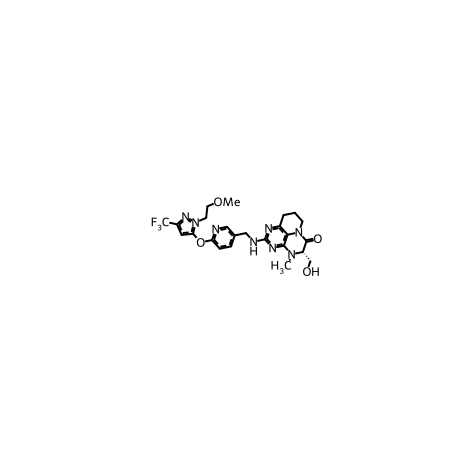 COCCn1nc(C(F)(F)F)cc1Oc1ccc(CNc2nc3c4c(n2)N(C)[C@@H](CO)C(=O)N4CCC3)cn1